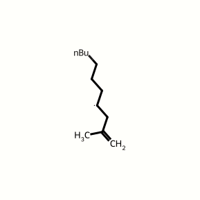 C=C(C)C[CH]CCCCCCC